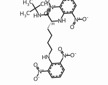 CC(C)(C)NC(=O)[C@@H](CCCCNc1c([N+](=O)[O-])cccc1[N+](=O)[O-])Nc1c([N+](=O)[O-])cccc1[N+](=O)[O-]